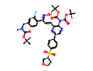 CN(Cc1ccc(C(/C=C/c2nc(-c3ccc(S(=O)(=O)C4CCOC4)cc3)cnc2N(C(=O)OC(C)(C)C)C(=O)OC(C)(C)C)=N/O)c(F)c1)C(=O)OC(C)(C)C